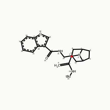 C=C(CN1C2CCC1CC(CNC(=O)c1coc3ccccc13)C2)NC(C)(C)C